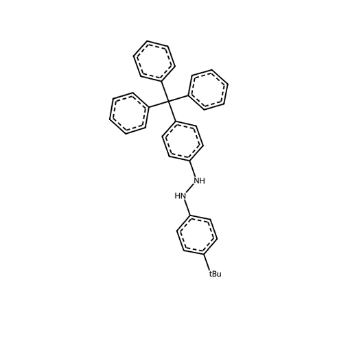 CC(C)(C)c1ccc(NNc2ccc(C(c3ccccc3)(c3ccccc3)c3ccccc3)cc2)cc1